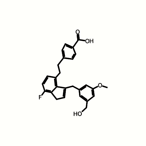 COc1cc(CO)cc(CC2=CCc3c(F)ccc(CCc4ccc(C(=O)O)cc4)c32)c1